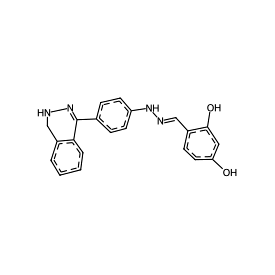 Oc1ccc(C=NNc2ccc(C3=NNCc4ccccc43)cc2)c(O)c1